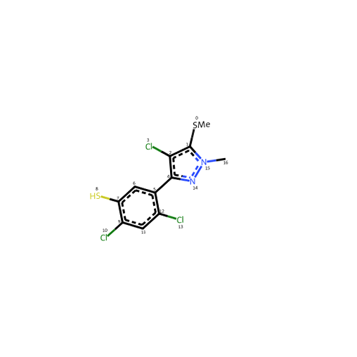 CSc1c(Cl)c(-c2cc(S)c(Cl)cc2Cl)nn1C